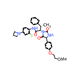 COCCOc1ccc(C2NC(=O)N([C@H](C(=O)Nc3ccc(N4CCC4)cc3F)[C@@H](C)c3ccccc3)C2=O)cc1